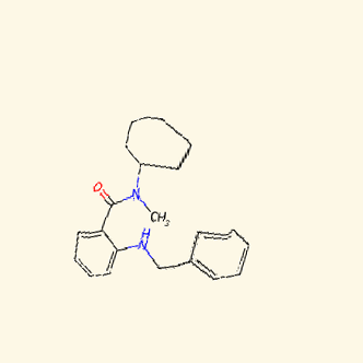 CN(C(=O)c1ccccc1NCc1ccccc1)C1CCCCC1